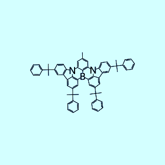 Cc1cc2c3c(c1)-n1c4ccc(C(C)(C)c5ccccc5)cc4c4cc(C(C)(C)c5ccccc5)cc(c41)B3c1cc(C(C)(C)c3ccccc3)cc3c4cc(C(C)(C)c5ccccc5)ccc4n-2c13